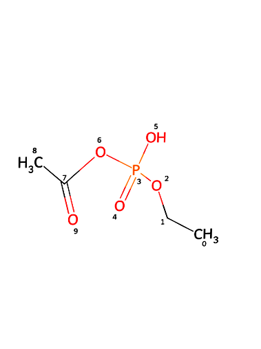 CCOP(=O)(O)OC(C)=O